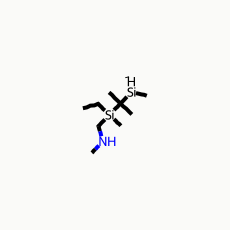 CC[Si](C)(CNC)C(C)(C)[SiH](C)C